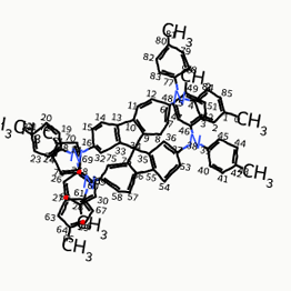 Cc1ccc(N(C2=CCC3=C(C=C2)c2ccc(N(c4ccc(C)cc4)c4ccc(C)cc4)cc2C32c3cc(N(c4ccc(C)cc4)c4ccc(C)cc4)ccc3-c3ccc(N(c4ccc(C)cc4)c4ccc(C)cc4)cc32)c2ccc(C)cc2)cc1